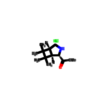 COC(=O)[C@H]1NC[C@H]2[C@@H]1C(C)(C)C2(C)C.Cl